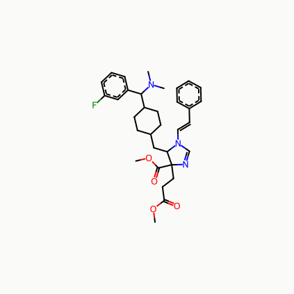 COC(=O)CCC1(C(=O)OC)N=CN(C=Cc2ccccc2)C1CC1CCC(C(c2cccc(F)c2)N(C)C)CC1